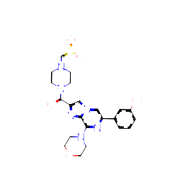 O=C(c1cn2cc(-c3cccc(O)c3)nc(N3CCOCC3)c2n1)N1CCN(C=S(=O)=O)CC1